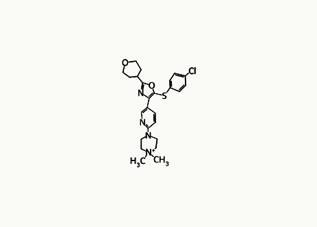 C[N+]1(C)CCN(c2ccc(-c3nc(C4CCOCC4)oc3Sc3ccc(Cl)cc3)cn2)CC1